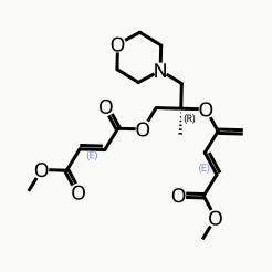 C=C(/C=C/C(=O)OC)O[C@@](C)(COC(=O)/C=C/C(=O)OC)CN1CCOCC1